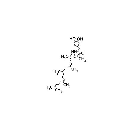 COC(=O)[C@H](Cc1ccc(O)c(O)c1)NC(=O)C=C(C)CCC=C(C)CCC=C(C)CCC=C(C)CCC=C(C)C